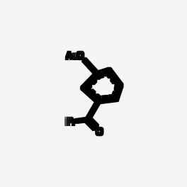 CC(=O)Oc1cccc(C(=O)C(C)C)c1